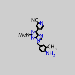 CNc1nc(-c2ccnc(C#N)c2)c2ncn(Cc3ccc(N)c(C)c3)c2n1